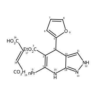 CCCC1=C(C(=O)OCC)C(c2ccco2)c2c[nH]nc2N1.O=C(O)C=CC(=O)O